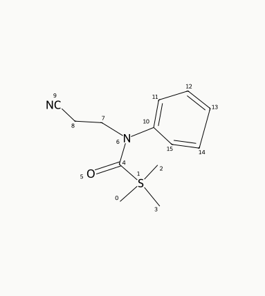 CS(C)(C)C(=O)N(CCC#N)c1ccccc1